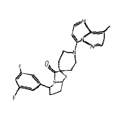 Cc1cnn2c(N3CCC4(CC3)SC3CCC(c5cc(F)cc(F)c5)N3C4=O)ccnc12